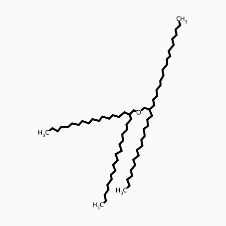 CCCCCCCCCCCCCCCCCCC(CCCCCCCCCCCCCCCC)COCC(CCCCCCCCCCCCCCCC)CCCCCCCCCCCCCCCCCC